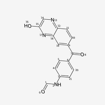 O=CNc1ccc(C(=O)c2ccc3ncc(O)nc3c2)cc1